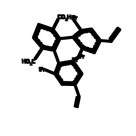 C=Cc1cc(C(C)C)c(-c2c(C(=O)O)ccc(C(=O)O)c2-c2c(C(C)C)cc(C=C)cc2C(C)C)c(C(C)C)c1